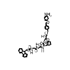 Nc1ccc(OCc2ccc(COCNC(=O)CNC(=O)[C@H](Cc3ccccc3)NC(=O)CNC(=O)CNC(=O)OCC3c4ccccc4-c4ccccc43)cc2)cc1